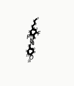 CCCCc1cc(F)c(C=NN=Cc2ccc(OC)cc2)c(F)c1